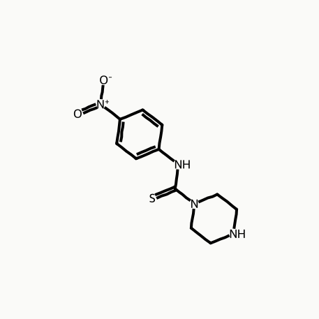 O=[N+]([O-])c1ccc(NC(=S)N2CCNCC2)cc1